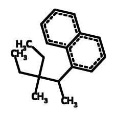 CCC(C)(CC)C(C)c1cccc2ccccc12